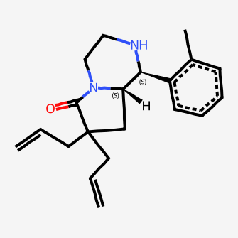 C=CCC1(CC=C)C[C@H]2[C@H](c3ccccc3C)NCCN2C1=O